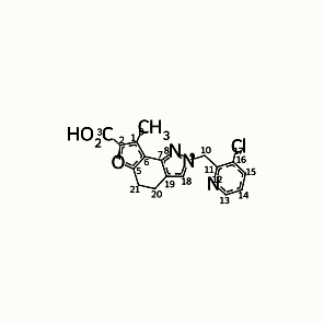 Cc1c(C(=O)O)oc2c1-c1nn(Cc3ncccc3Cl)cc1CC2